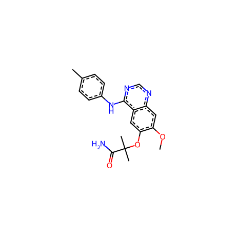 COc1cc2ncnc(Nc3ccc(C)cc3)c2cc1OC(C)(C)C(N)=O